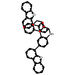 c1ccc2c(c1)C1c3ccccc3C23c2cc(-c4cccc5c4oc4ccccc45)ccc2Nc2ccc(-c4cccc5c4oc4ccccc45)c1c23